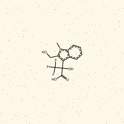 Cn1c(CO)c(C(O)(C(=O)O)C(F)(F)F)c2ccccc21